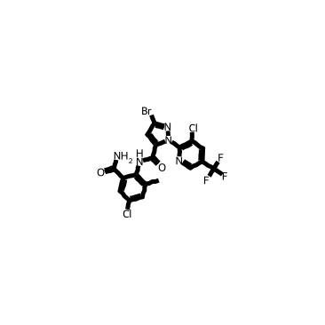 Cc1cc(Cl)cc(C(N)=O)c1NC(=O)c1cc(Br)nn1-c1ncc(C(F)(F)F)cc1Cl